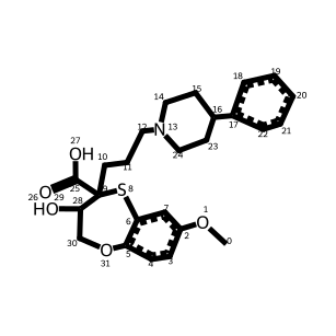 COc1ccc2c(c1)SC(CCCN1CCC(c3ccccc3)CC1)(C(=O)O)C(O)CO2